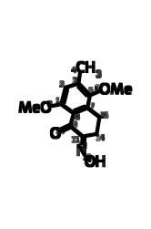 COc1cc(C)c(OC)c2c1C(=O)C(=NO)CC2